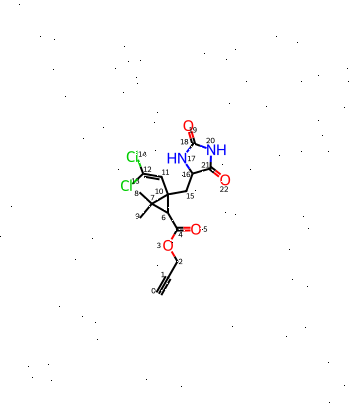 C#CCOC(=O)C1C(C)(C)C1(C=C(Cl)Cl)CC1NC(=O)NC1=O